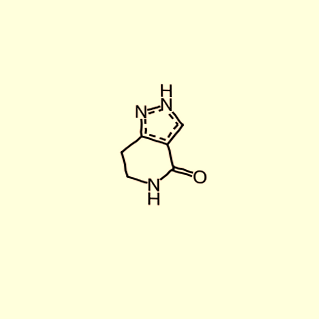 O=C1NCCc2n[nH]cc21